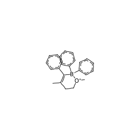 CC1=C(c2ccccc2)[B-](c2ccccc2)(c2ccccc2)[O+](C)CC1